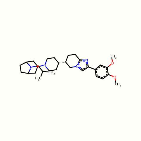 COc1ccc(-c2cn3c(n2)CC[C@@H](C2CCN(C4CC5CCC(C4)N5CC(C)C)CC2)C3)cc1OC